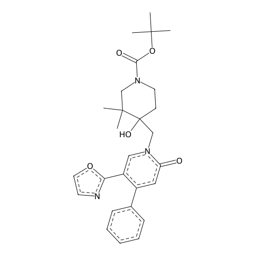 CC(C)(C)OC(=O)N1CCC(O)(Cn2cc(-c3ncco3)c(-c3ccccc3)cc2=O)C(C)(C)C1